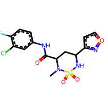 CN1C(C(=O)Nc2ccc(F)c(Cl)c2)CC(c2ccon2)NS1(=O)=O